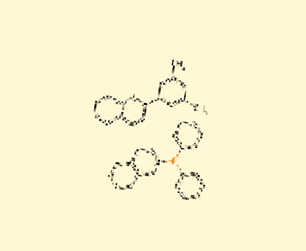 Cc1cc(C)cc(-c2[c]c3ccccc3cc2)c1.[c]1c(P(c2ccccc2)c2ccccc2)ccc2ccccc12